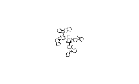 Cc1c(C2=NC(C)(c3ccc4c(c3)sc3ccccc34)NC(C3=CC4(C)c5c(ccc6ccccc56)OC4C(n4c5ccccc5c5cc6ccccc6cc54)=C3)=N2)ccc2c1c1ccccc1n2C1C=CC=CC1